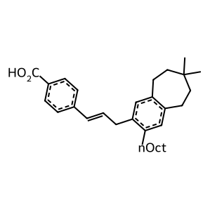 CCCCCCCCc1cc2c(cc1CC=Cc1ccc(C(=O)O)cc1)CCC(C)(C)CC2